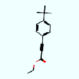 CCOC(=O)C#Cc1ccc(C(C)(C)C)cc1